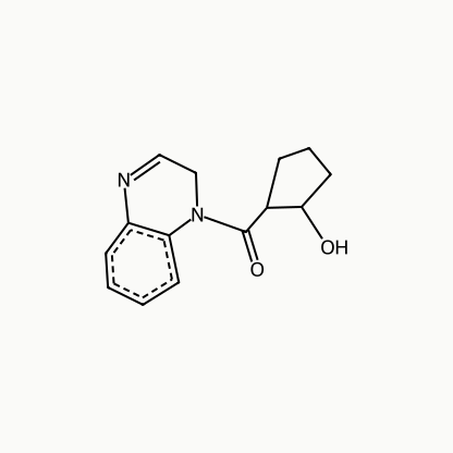 O=C(C1CCCC1O)N1CC=Nc2ccccc21